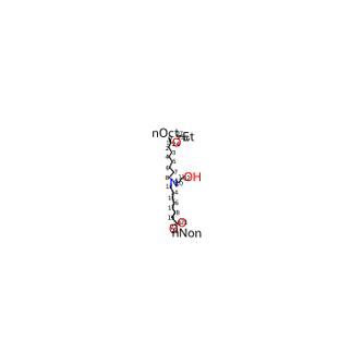 C=C(CCCCCCCN(CCO)CCCCCCCC(=O)OCCCCCCCCC)OC(CC)CCCCCCCC